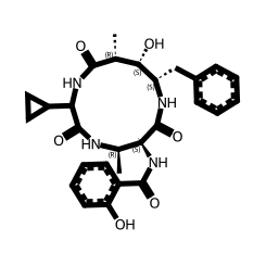 C[C@H]1NC(=O)C(C2CC2)NC(=O)[C@H](C)[C@H](O)[C@H](Cc2ccccc2)NC(=O)[C@H]1NC(=O)c1ccccc1O